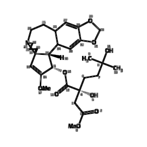 COC(=O)C[C@](O)(CCC(C)(C)O)C(=O)O[C@@H]1C(OC)=C[C@]23CCCN2CCC2C=C4OCOC4=CC2[C@H]13